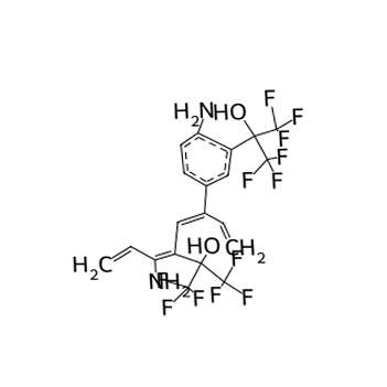 C=C/C(N)=C(\C=C(/C=C)c1ccc(N)c(C(O)(C(F)(F)F)C(F)(F)F)c1)C(O)(C(F)(F)F)C(F)(F)F